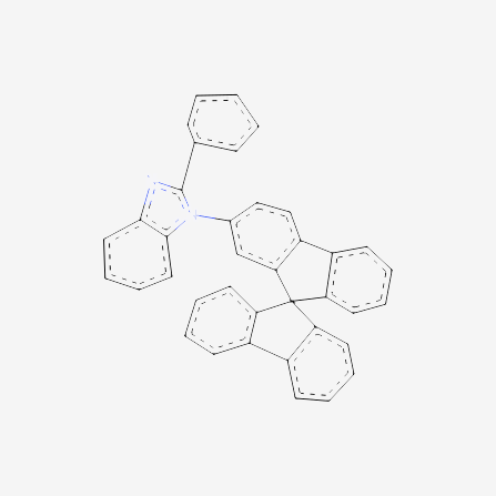 c1ccc(-c2nc3ccccc3n2-c2ccc3c(c2)C2(c4ccccc4-c4ccccc42)c2ccccc2-3)cc1